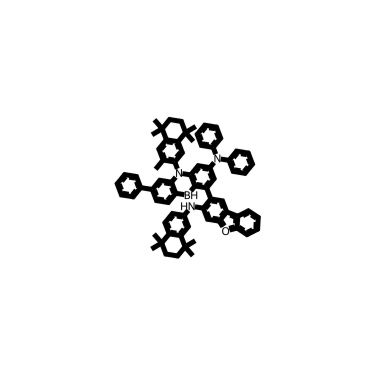 Cc1cc2c(cc1N1c3cc(-c4ccccc4)ccc3Bc3c(-c4cc5c(cc4Nc4ccc6c(c4)C(C)(C)CCC6(C)C)oc4ccccc45)cc(N(c4ccccc4)c4ccccc4)cc31)C(C)(C)CCC2(C)C